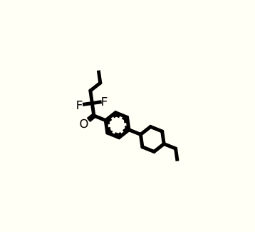 CCCC(F)(F)C(=O)c1ccc(C2CCC(CC)CC2)cc1